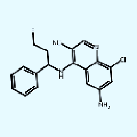 N#Cc1cnc2c(Cl)cc(N)cc2c1NC(CCF)c1ccccc1